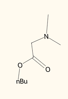 CCCCOC(=O)CN(C)C